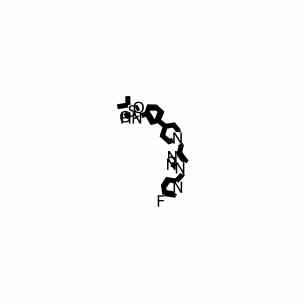 CC(C)S(=O)(=O)Nc1cccc(C2CCN(Cc3cn(Cc4ccc(F)cn4)nn3)CC2)c1